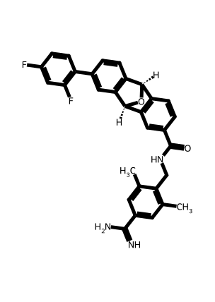 Cc1cc(C(=N)N)cc(C)c1CNC(=O)c1ccc2c(c1)[C@@H]1O[C@H]2c2ccc(-c3ccc(F)cc3F)cc21